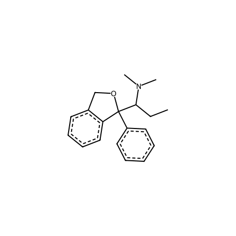 CCC(N(C)C)C1(c2ccccc2)OCc2ccccc21